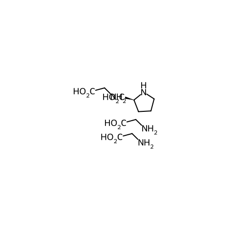 NCC(=O)O.NCC(=O)O.NCC(=O)O.O=C(O)[C@@H]1CCCN1